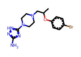 CC(CN1CCN(c2nc(N)n[nH]2)CC1)Oc1ccc(Br)cc1